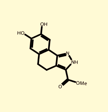 COC(=O)c1[nH]nc2c1CCc1cc(O)c(O)cc1-2